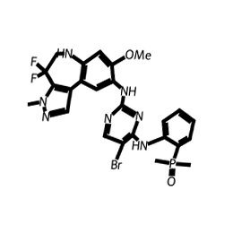 COc1cc2c(cc1Nc1ncc(Br)c(Nc3ccccc3P(C)(C)=O)n1)-c1cnn(C)c1C(F)(F)CN2